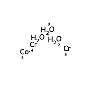 O.O.O.[Co].[Cr].[Cr]